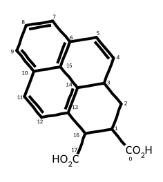 O=C(O)C1CC2C=Cc3cccc4ccc(c2c34)C1C(=O)O